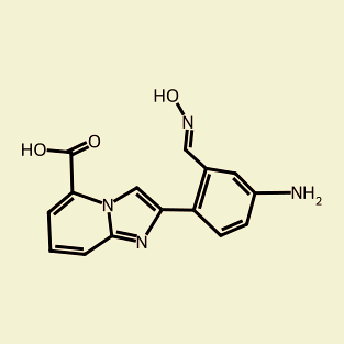 Nc1ccc(-c2cn3c(C(=O)O)cccc3n2)c(C=NO)c1